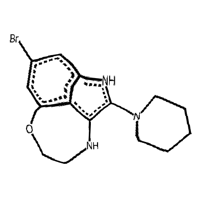 Brc1cc2c3c(c(N4CCCCC4)[nH]c3c1)NCCO2